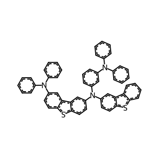 c1ccc(N(c2ccccc2)c2cccc(N(c3ccc4sc5ccccc5c4c3)c3ccc4sc5ccc(N(c6ccccc6)c6ccccc6)cc5c4c3)c2)cc1